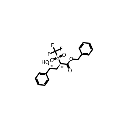 O=C(OCc1ccccc1)[C@@H](C[C@@H](O)c1ccccc1)S(=O)(=O)C(F)(F)F